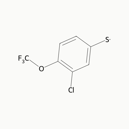 FC(F)(F)Oc1ccc([S])cc1Cl